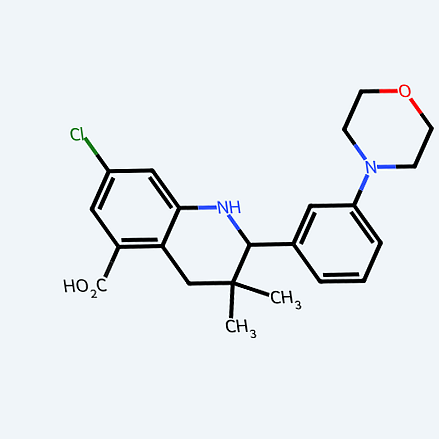 CC1(C)Cc2c(cc(Cl)cc2C(=O)O)NC1c1cccc(N2CCOCC2)c1